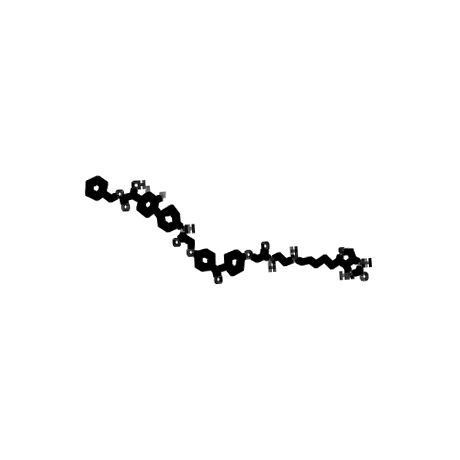 CC(C(=O)OCc1ccccc1)c1ccc(-c2ccc(NC(=O)COc3ccc(C(=O)c4ccc(OCC(=O)NCCNCCCCCC5SCC6NC(=O)NC65)cc4)cc3)cc2)c(F)c1